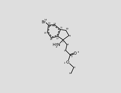 CCOC(=O)CCC1(N)CCc2cc(Br)ccc21